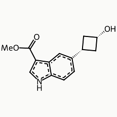 COC(=O)c1c[nH]c2ccc([C@H]3C[C@@H](O)C3)cc12